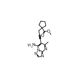 COC(=O)C1(CC#Cc2c(C)nc3ncnn3c2N)CCCC1